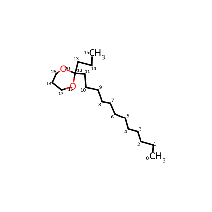 CCCCCCCCCCCCC1(CCC)OCCCO1